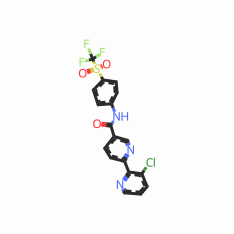 O=C(Nc1ccc(S(=O)(=O)C(F)(F)F)cc1)c1ccc(-c2ncccc2Cl)nc1